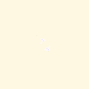 C=C[C](C(C=C)N1CCC[14CH2]1)N1CCCC[14CH2]1